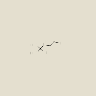 CC(C)(C)PCCN